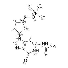 CC(C)C(=O)Nc1nc2c(ncn2[C@H]2CC[C@@H](COP(=O)(O)S)O2)c(=O)[nH]1